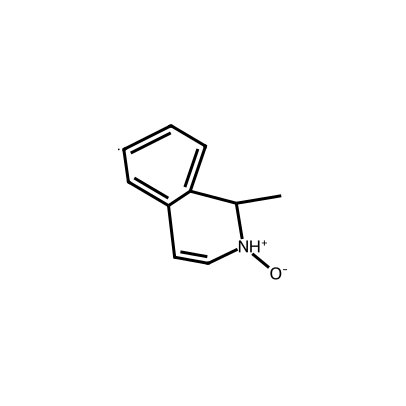 CC1c2cc[c]cc2C=C[NH+]1[O-]